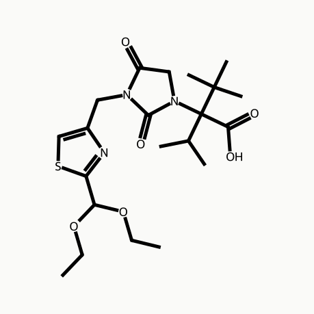 CCOC(OCC)c1nc(CN2C(=O)CN(C(C(=O)O)(C(C)C)C(C)(C)C)C2=O)cs1